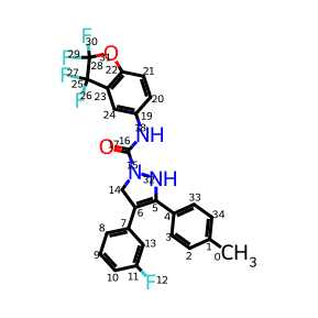 Cc1ccc(C2=C(c3cccc(F)c3)CN(C(=O)Nc3ccc4c(c3)C(F)(F)C(F)(F)O4)N2)cc1